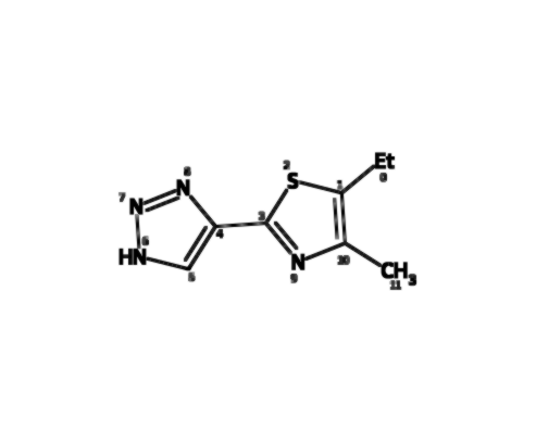 CCc1sc(-c2c[nH]nn2)nc1C